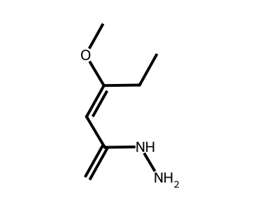 C=C(/C=C(\CC)OC)NN